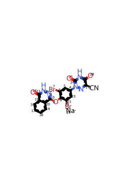 N#Cc1nn(-c2cc(Br)c(Oc3n[nH]c(=O)c4ccccc34)c(Br)c2)c(=O)[nH]c1=O.[Na]